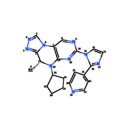 CC[C@@H]1c2nncn2-c2cnc(-n3ccnc3-c3ccncc3)nc2N1C1CCCC1